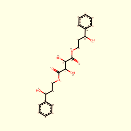 O=C(OCCC(O)c1ccccc1)C(O)C(O)C(=O)OCCC(O)c1ccccc1